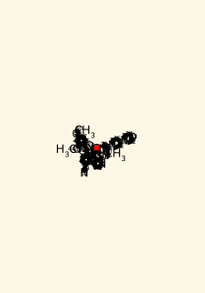 CCOc1ncccc1[C@]1(NC(=O)N2CC(N3CCC(N4CCOCC4)CC3)C2)C(=O)N(S(=O)(=O)c2ccc(OC)cc2OC)c2ccc(C#N)cc21